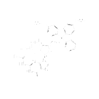 COc1ccc(C(OC[C@H]2O[C@@H](n3cnc4c(=O)[nH]c(NC(=O)C(C)C)nc43)[C@H](OP(O)O)[C@H]2F)(c2ccccc2)c2ccc(OC)cc2)cc1